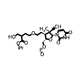 C#C[C@]1(C)[C@H](CCOCCC(CO)C(=O)OC(C)C)[C@@H](COP=O)O[C@H]1n1ccc(=O)[nH]c1=O